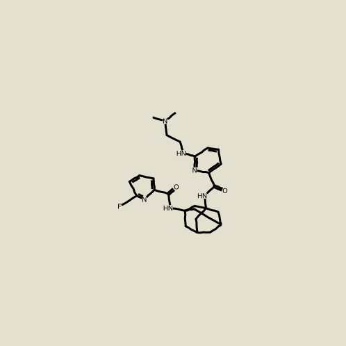 CN(C)CCNc1cccc(C(=O)NC23CC4CC(CC(NC(=O)c5cccc(F)n5)(C4)C2)C3)n1